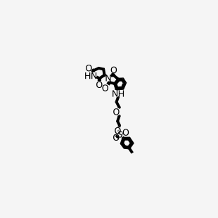 Cc1ccc(S(=O)(=O)OCCCOCCCNc2cccc3c2C(=O)N(C2CCC(=O)NC2=O)C3=O)cc1